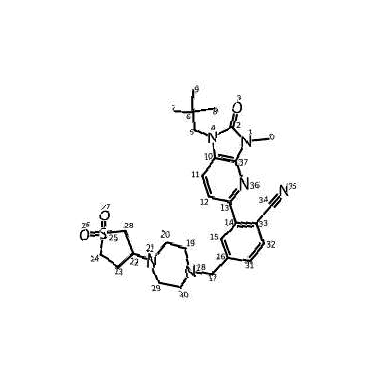 Cn1c(=O)n(CC(C)(C)C)c2ccc(-c3cc(CN4CCN(C5CCS(=O)(=O)C5)CC4)ccc3C#N)nc21